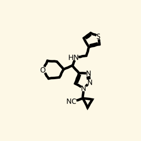 N#CC1(n2cc(C(NCc3ccsc3)C3CCOCC3)nn2)CC1